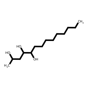 CCCCCCCCCC(O)C(O)CC(C)O